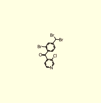 O=C(c1ccncc1Cl)c1ccc(C(Br)Br)cc1Br